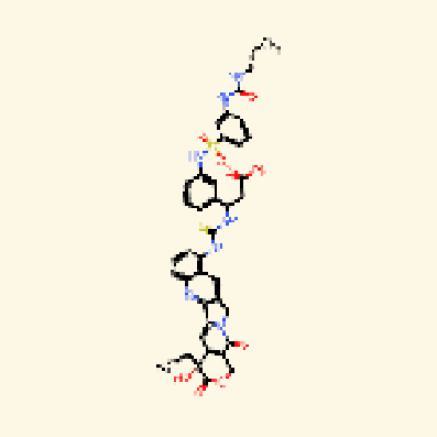 CCCNC(=O)Nc1cccc(S(=O)(=O)Nc2cccc(C(CC(=O)O)NC(=S)Nc3cccc4nc5c(cc34)Cn3c-5cc4c(c3=O)COC(=O)[C@]4(O)CC)c2)c1